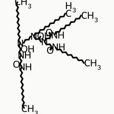 CCCCCCCCCCCCCCNC(=O)CCNCC(O)CN(CCCCCCCCCCCCCC)CCCCN(CCCCCCCCCCCCCC)CC(O)CN(CCC(=O)NCCCCCCCCCCCC)CCC(=O)NCCCCCCCCCCCC